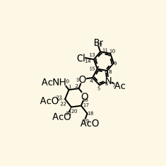 CC(=O)NC1C(Oc2cn(C(C)=O)c3ccc(Br)c(Cl)c23)OC(COC(C)=O)[C@@H](OC(C)=O)[C@@H]1OC(C)=O